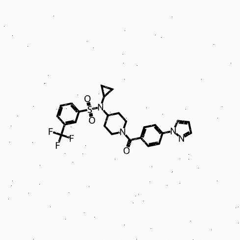 O=C(c1ccc(-n2cccn2)cc1)N1CCC(N(C2CC2)S(=O)(=O)c2cccc(C(F)(F)F)c2)CC1